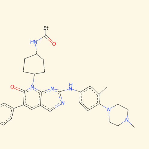 CCC(=O)NC1CCC(n2c(=O)c(-c3ccccc3)cc3cnc(Nc4ccc(N5CCN(C)CC5)c(C)c4)nc32)CC1